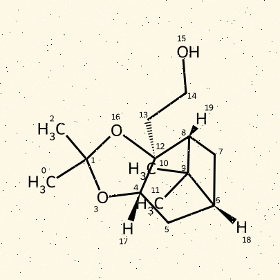 CC1(C)O[C@H]2C[C@H]3C[C@H](C3(C)C)[C@]2(CCO)O1